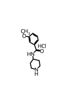 COc1cccc(C(=O)NC2CCNCC2)c1.Cl